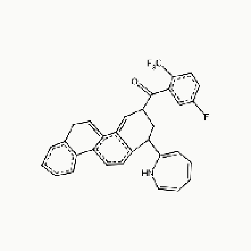 O=C(c1cc(F)ccc1C(F)(F)F)C1C=c2c(ccc3c2=CCc2ccccc2-3)C(C2=CC=CC=CN2)C1